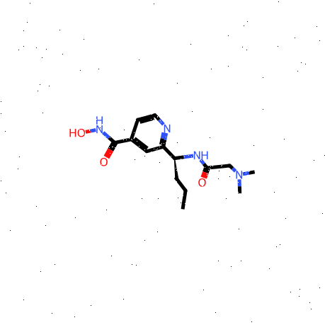 CCC[C@H](NC(=O)CN(C)C)c1cc(C(=O)NO)ccn1